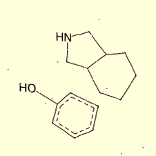 C1CCC2CNCC2C1.Oc1ccccc1